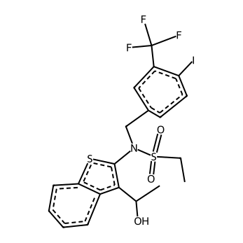 CCS(=O)(=O)N(Cc1ccc(I)c(C(F)(F)F)c1)c1sc2ccccc2c1C(C)O